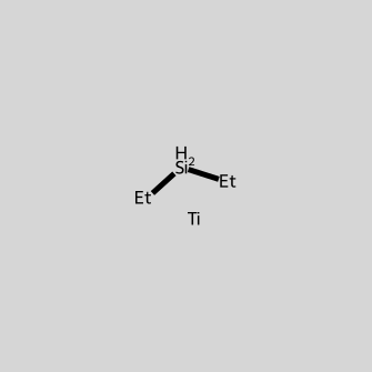 CC[SiH2]CC.[Ti]